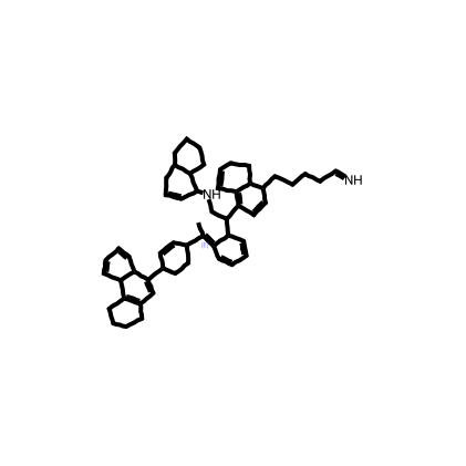 C/C(=C1/C=CC=CC1C(CNC1C=CCC2CCCCC21)C1=C2C=CCCC2C(CCCCC=N)C=C1)C1C=CC(C2=CC3=C(CCCC3)C3C=CC=CC23)CC1